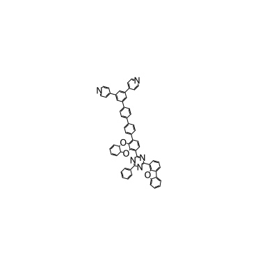 C1=CC2Oc3c(-c4ccc(-c5ccc(-c6cc(-c7ccncc7)cc(-c7ccncc7)c6)cc5)cc4)ccc(-c4nc(-c5ccccc5)nc(-c5cccc6c5oc5ccccc56)n4)c3OC2C=C1